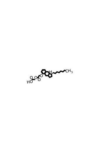 CCCCCCCC[C@H]1CCC2Cc3c(cccc3OCC(=O)OCC(=O)O)C[C@@H]21